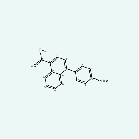 CCCCCCc1ccc(-c2ccc(C(=O)OC)c3ccccc23)cc1